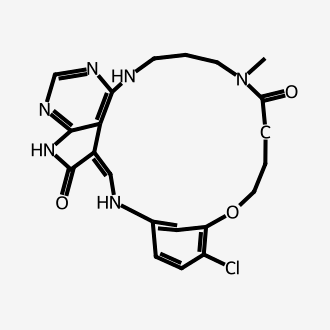 CN1CCCNc2ncnc3c2/C(=C/Nc2ccc(Cl)c(c2)OCCCC1=O)C(=O)N3